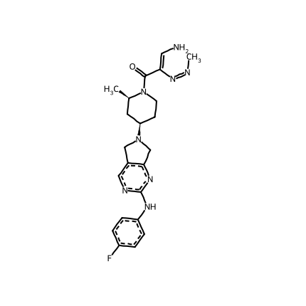 C/N=N\C(=C/N)C(=O)N1CC[C@@H](N2Cc3cnc(Nc4ccc(F)cc4)nc3C2)C[C@H]1C